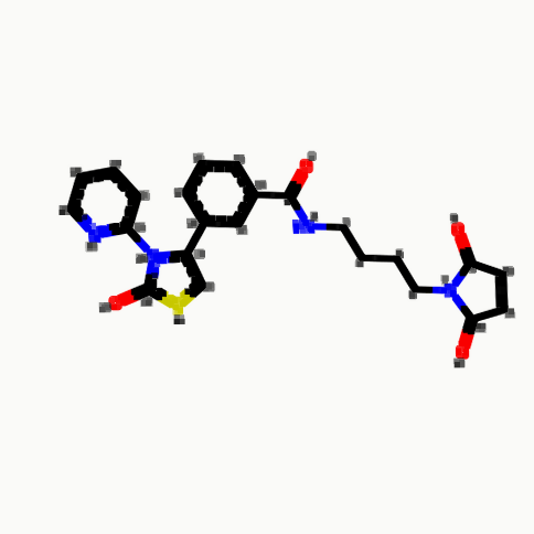 O=C(NCCCCN1C(=O)C=CC1=O)c1cccc(-c2csc(=O)n2-c2ccccn2)c1